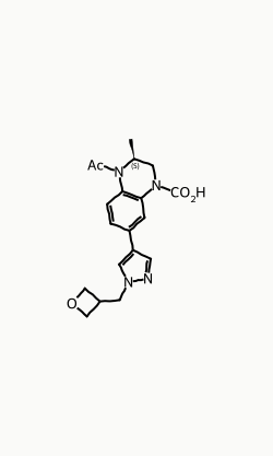 CC(=O)N1c2ccc(-c3cnn(CC4COC4)c3)cc2N(C(=O)O)C[C@@H]1C